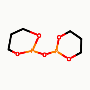 C1COP(OP2OCCCO2)OC1